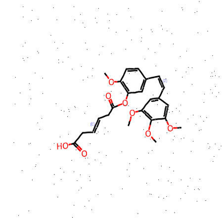 COc1ccc(/C=C\c2cc(OC)c(OC)c(OC)c2)cc1OC(=O)C/C=C/CC(=O)O